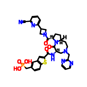 N#Cc1cccc(C2CN(C(=O)[C@@H]3CC[C@@H]4CCN(Cc5ncccn5)C[C@H](NC(=O)c5cc6cc(CP(=O)(O)O)ccc6s5)C(=O)N43)C2)n1